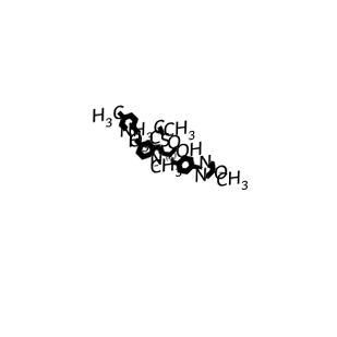 COc1cnc(-c2ccc(C[C@@H](C(=O)O)c3c(SC(C)(C)C)c4cc(OCc5ccc(C)cn5)ccc4n3C)cc2)nc1